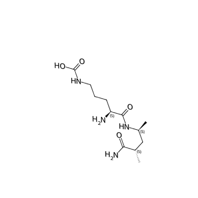 C[C@@H](C[C@H](C)C(N)=O)NC(=O)[C@@H](N)CCCNC(=O)O